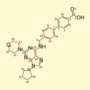 O=C(O)c1ccc(-c2ccc(CNc3nc(N4CCOCC4)nc4c3ncn4C3CCCC3)cc2)cc1